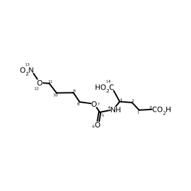 O=C(O)CCC(NC(=O)OCCCCO[N+](=O)[O-])C(=O)O